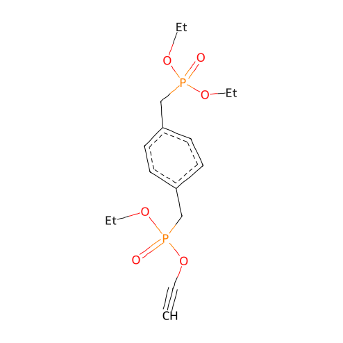 C#COP(=O)(Cc1ccc(CP(=O)(OCC)OCC)cc1)OCC